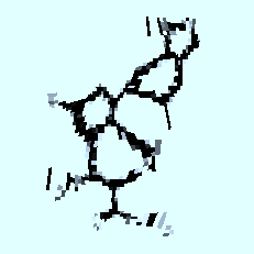 Cc1cc2cn[nH]c2cc1-c1cc(F)cc2c(N)c(C(N)=O)nnc12